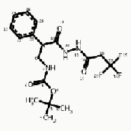 CC(C)(C)OC(=O)NCC(C(=O)NNC(=O)CC(F)(F)F)c1ccccc1